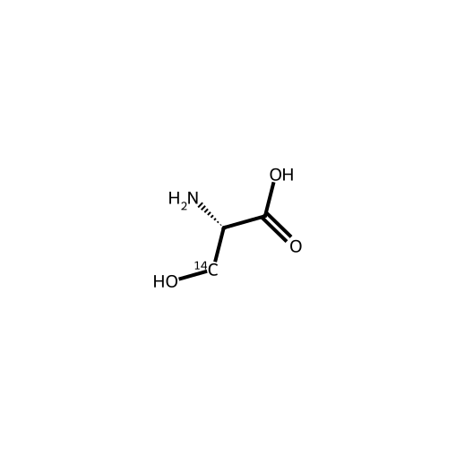 N[C@@H]([14CH2]O)C(=O)O